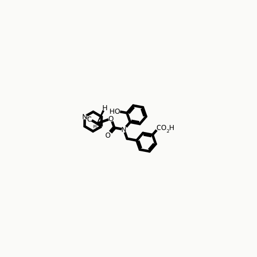 O=C(O)c1cccc(CN(C(=O)O[C@H]2CN3CCC2CC3)c2ccccc2O)c1